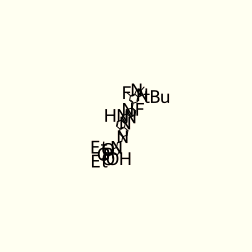 CCOP(=O)(OCC)C1(O)CCN(CCN2CCc3nc(Nc4ncc(F)c(-c5cc(F)c6nc(C)n(C(C)(C)C)c6c5)n4)ccc3C2)C1